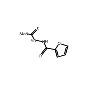 CNC(=S)NNC(=O)c1ccco1